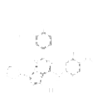 COc1ccc(Nc2nc(-c3ccc(OC)c(OC)c3)nn3c(C4CCCC4)nc(C)c23)cc1Cl